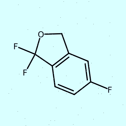 Fc1ccc2c(c1)COC2(F)F